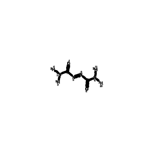 [3H]N([3H])C(=O)N=NC(=O)N([3H])[3H]